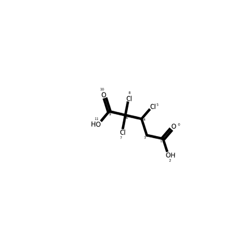 O=C(O)CC(Cl)C(Cl)(Cl)C(=O)O